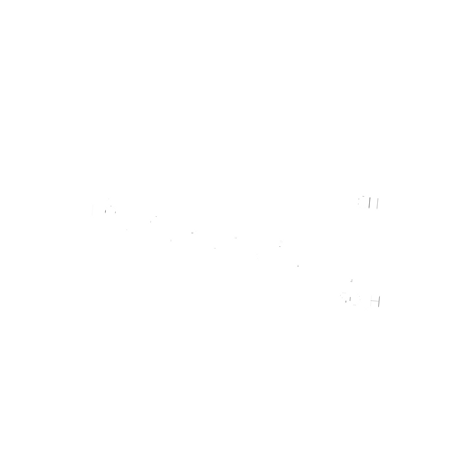 Cc1ccc(S(=O)(=O)O)c(CCCCCCCCCO)c1